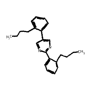 CCCCc1ccccc1-c1cnc(-c2ccccc2CCCC)nc1